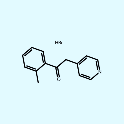 Br.Cc1ccccc1C(=O)Cc1ccncc1